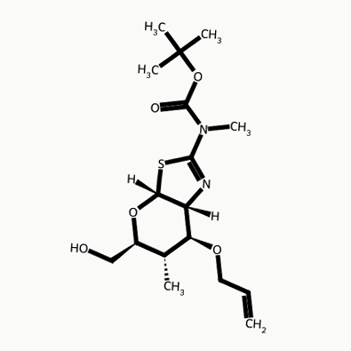 C=CCO[C@H]1[C@H](C)[C@@H](CO)O[C@@H]2SC(N(C)C(=O)OC(C)(C)C)=N[C@H]12